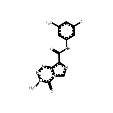 Cn1nnc2c(C(=O)Nc3cc(Cl)cc(C(F)(F)F)c3)ncn2c1=O